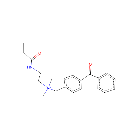 C=CC(=O)NCC[N+](C)(C)Cc1ccc(C(=O)c2ccccc2)cc1